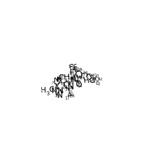 Cn1cnnc1-c1cnn(C)c1-c1cc(C2CC2)nc(N2Cc3c(cc(COCC4(O)CCC4)cc3C(F)(F)F)C2=O)c1